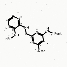 CCCCCNc1cc(NC)nc(CNc2nccnc2NCCCC)n1